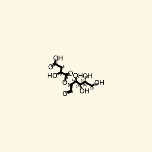 O=C[C@H](OC(=O)C(O)CC(=O)O)[C@@H](O)[C@H](O)[C@H](O)CO